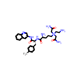 NCC[N+](CCC[C@H](N)C(=O)N[C@H](Cc1ccc(C(F)(F)F)cc1)C(=O)Nc1cnc2ccccc2c1)(CC(N)=O)CC(N)=O